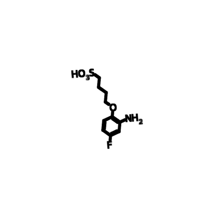 Nc1cc(F)ccc1OCCCCS(=O)(=O)O